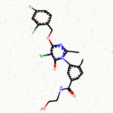 Cc1ccc(C(=O)NCCO)cc1-n1c(C)nc(OCc2ccc(F)cc2F)c(Br)c1=O